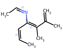 C=C(C)/C(C)=C(/C=C\C)\N=C/C